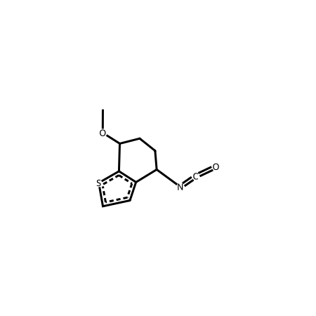 COC1CCC(N=C=O)c2ccsc21